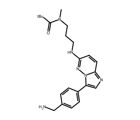 CN(CCCNc1ccc2ncc(-c3ccc(CN)cc3)n2n1)C(=O)C(C)(C)C